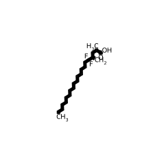 C=C(CC(C)C(=O)O)C(F)(F)CCCCCCCCCCCCCCCC